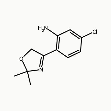 CC1(C)N=C(c2ccc(Cl)cc2N)CO1